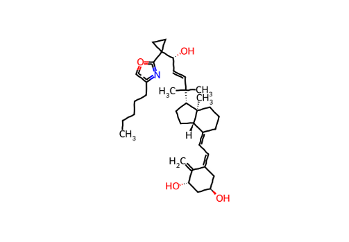 C=C1/C(=C\C=C2/CCC[C@]3(C)[C@@H](C(C)(C)/C=C/[C@@H](O)C4(c5nc(CCCCC)co5)CC4)CC[C@@H]23)C[C@@H](O)C[C@@H]1O